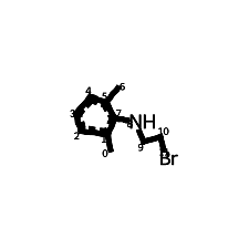 Cc1cccc(C)c1NCCBr